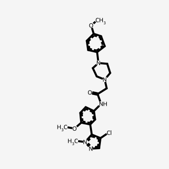 COc1ccc(N2CCN(CC(=O)Nc3ccc(OC)c(-c4c(Cl)cnn4C)c3)CC2)cc1